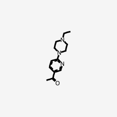 CCN1CCN(c2ccc(C(C)=O)cn2)CC1